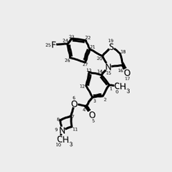 Cc1cc(C(=O)OC2CN(C)C2)ccc1N1C(=O)CSC1c1ccc(F)cc1